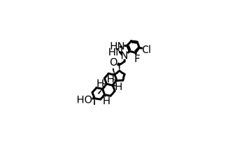 C[C@@]1(O)CC[C@@]2(C)[C@@H](CC[C@@H]3[C@@H]2CC[C@]2(C)[C@@H](C(=O)CN4NNc5ccc(Cl)c(F)c54)CC[C@@H]32)C1